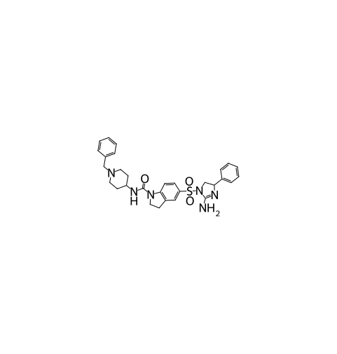 NC1=NC(c2ccccc2)CN1S(=O)(=O)c1ccc2c(c1)CCN2C(=O)NC1CCN(Cc2ccccc2)CC1